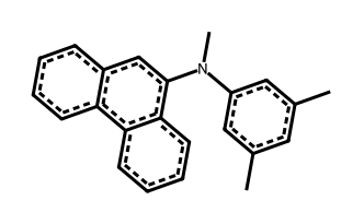 Cc1cc(C)cc(N(C)c2cc3ccccc3c3ccccc23)c1